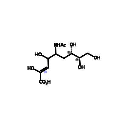 CC(=O)NC(C[C@H](O)[C@H](O)CO)C(O)/C=C(\O)C(=O)O